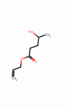 C=CCOC(=O)CCC(C)O